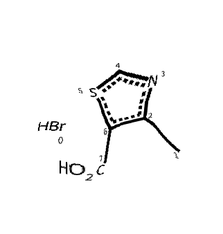 Br.Cc1ncsc1C(=O)O